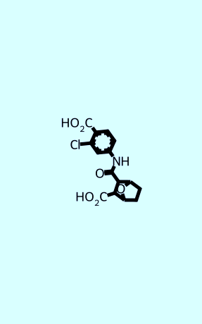 O=C(O)c1ccc(NC(=O)C2C3CCC(O3)C2C(=O)O)cc1Cl